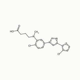 CN(CCCC(=O)O)c1cc(-n2cnc(-c3sccc3Cl)c2)ccc1Cl